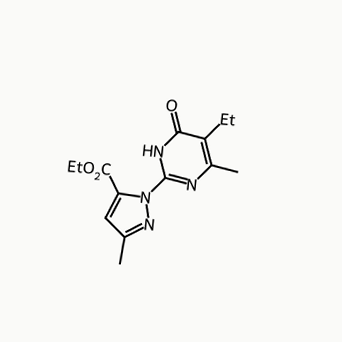 CCOC(=O)c1cc(C)nn1-c1nc(C)c(CC)c(=O)[nH]1